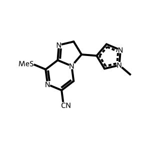 CSC1=NC(C#N)=CN2C1=NCC2c1cnn(C)c1